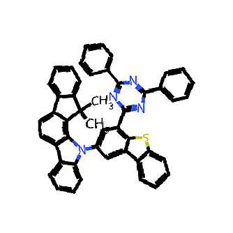 CC1(C)c2ccccc2-c2ccc3c4ccccc4n(-c4cc(-c5nc(-c6ccccc6)nc(-c6ccccc6)n5)c5sc6ccccc6c5c4)c3c21